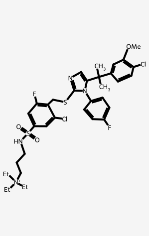 CC[N+](CC)(CC)CCCNS(=O)(=O)c1cc(F)c(CSc2ncc(C(C)(C)c3ccc(Cl)c(OC)c3)n2-c2ccc(F)cc2)c(Cl)c1